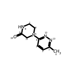 Cc1ccc(N2CCNC(=O)C2)nn1